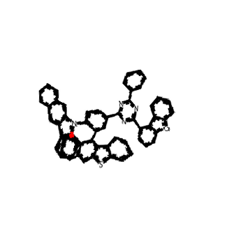 c1ccc(-c2nc(-c3ccc(-n4c5ccccc5c5cc6ccccc6cc54)c(-c4c5ccccc5cc5sc6ccccc6c45)c3)nc(-c3cccc4oc5ccccc5c34)n2)cc1